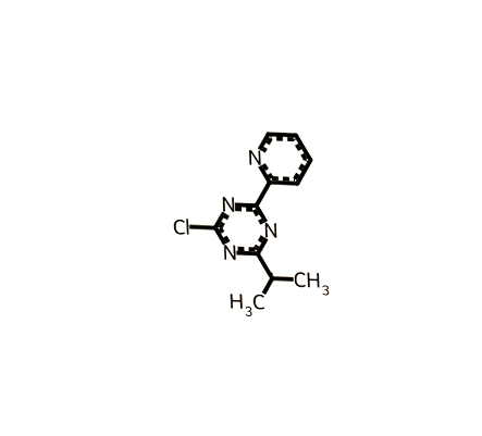 C[C](C)c1nc(Cl)nc(-c2ccccn2)n1